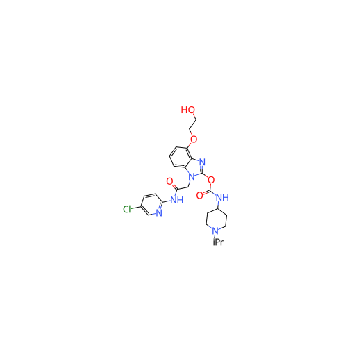 CC(C)N1CCC(NC(=O)Oc2nc3c(OCCO)cccc3n2CC(=O)Nc2ccc(Cl)cn2)CC1